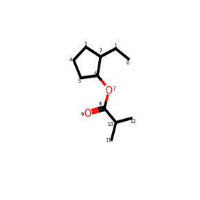 CCC1CCCC1OC(=O)C(C)C